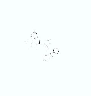 N[C@H](C(=O)NC1CC(F)(F)CC1CC[C@H]1CNCCN1S(=O)(=O)c1ccccc1)[C@H](c1ccc(Cl)cc1)C1CCOCC1